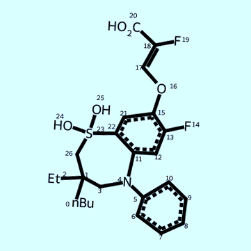 CCCCC1(CC)CN(c2ccccc2)c2cc(F)c(OC=C(F)C(=O)O)cc2S(O)(O)C1